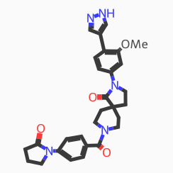 COc1cc(N2CCC3(CCN(C(=O)c4ccc(N5CCCC5=O)cc4)CC3)C2=O)ccc1-c1cn[nH]c1